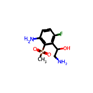 CS(=O)(=O)c1c(N)ccc(F)c1C(O)CN